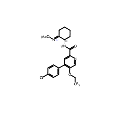 CO/N=C1\CCCC[C@@H]1NC(=O)c1cc(-c2ccc(Cl)cc2)c(OCC(F)(F)F)cn1